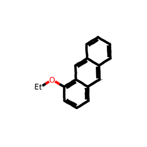 CCOc1cccc2[c]c3ccccc3cc12